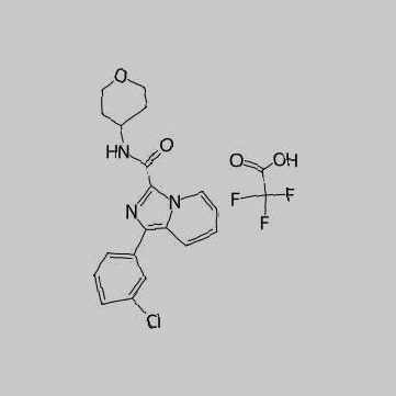 O=C(NC1CCOCC1)c1nc(-c2cccc(Cl)c2)c2ccccn12.O=C(O)C(F)(F)F